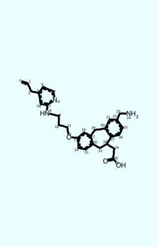 C=CCc1ccnc(NCCCOc2ccc3c(c2)Cc2cc(CN)ccc2C(CC(=O)O)C3)c1